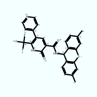 Cc1ccc2c(c1)Sc1cc(C)ccc1C2NC(=O)c1cc(-c2ccncc2)c(C(F)(F)F)[nH]c1=O